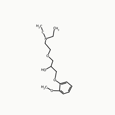 CCN(CC)CCOCC(O)COc1ccccc1OC